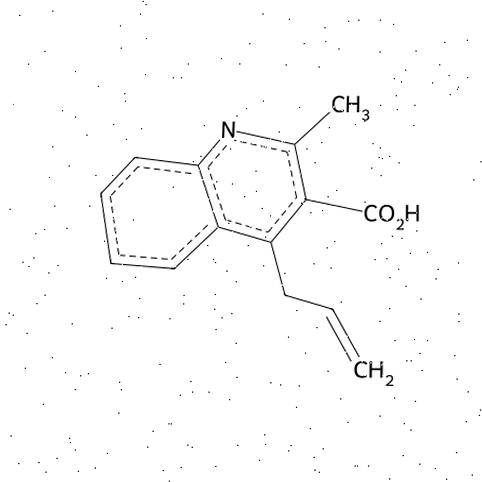 C=CCc1c(C(=O)O)c(C)nc2ccccc12